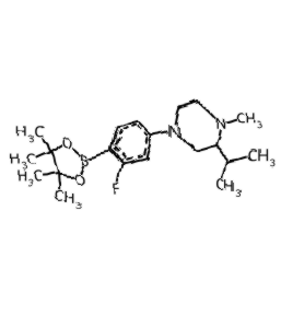 CC(C)C1CN(c2ccc(B3OC(C)(C)C(C)(C)O3)c(F)c2)CCN1C